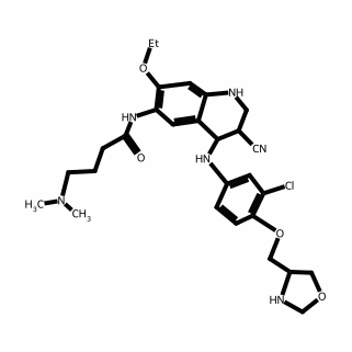 CCOc1cc2c(cc1NC(=O)CCCN(C)C)C(Nc1ccc(OCC3COCN3)c(Cl)c1)C(C#N)CN2